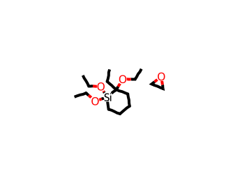 C1CO1.CCOC1(CC)CCCC[Si]1(OCC)OCC